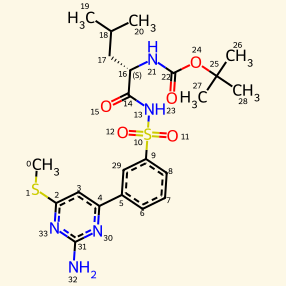 CSc1cc(-c2cccc(S(=O)(=O)NC(=O)[C@H](CC(C)C)NC(=O)OC(C)(C)C)c2)nc(N)n1